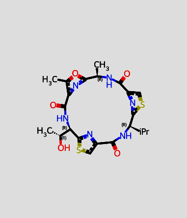 Cc1oc2nc1C(=O)N[C@H]([C@@H](C)O)c1nc(cs1)C(=O)N[C@H](C(C)C)c1nc(cs1)C(=O)N[C@@H]2C